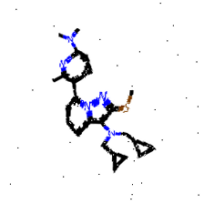 CSc1nn2c(-c3ccc(N(C)C)nc3C)cccc2c1N(CC1CC1)CC1CC1